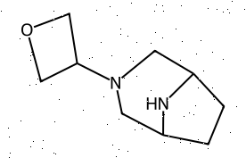 C1CC2CN(C3COC3)CC1N2